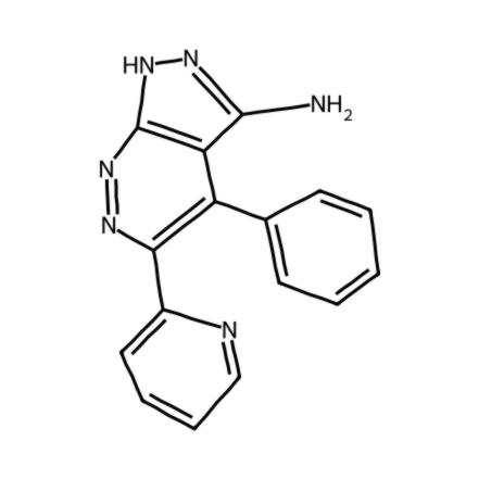 Nc1n[nH]c2nnc(-c3ccccn3)c(-c3ccccc3)c12